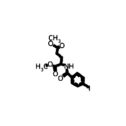 COC(=O)CCC(NC(=O)c1ccc(I)cc1)C(=O)OC